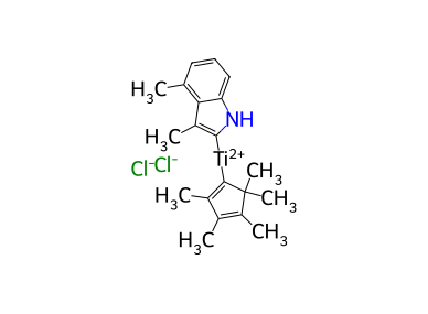 CC1=C(C)C(C)(C)[C]([Ti+2][c]2[nH]c3cccc(C)c3c2C)=C1C.[Cl-].[Cl-]